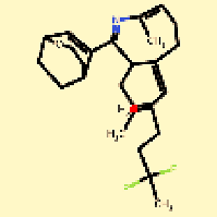 C=C(/C=C1/CC/C=C(C)/N=C(/C2=CC3CCCC2CC3)C1CCC)CCC(C)(F)F